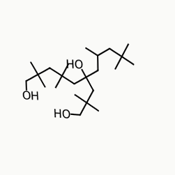 CC(CC(C)(C)C)CC(O)(CC(C)(C)CO)CC(C)(C)CC(C)(C)CO